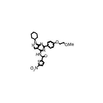 COCCOc1ccc(-c2nc(NC(=O)c3ccc([N+](=O)[O-])s3)c3cnn(C4CCCCC4)c3n2)cc1